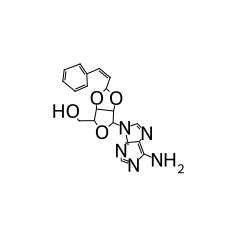 Nc1ncnc2c1ncn2C1OC(CO)C2OC(/C=C\c3ccccc3)OC21